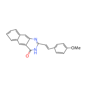 COc1ccc(/C=C/c2nc3cc4ccccc4cc3c(=O)[nH]2)cc1